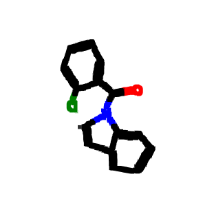 O=C(c1ccccc1Cl)n1[c]cc2ccccc21